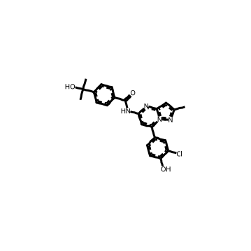 Cc1cc2nc(NC(=O)c3ccc(C(C)(C)O)cc3)cc(-c3ccc(O)c(Cl)c3)n2n1